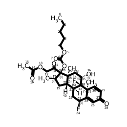 CCCCCOC(=O)O[C@]1(C(=O)COC(C)=O)[C@H](C)C[C@H]2[C@@H]3C[C@H](F)C4=CC(=O)C=C[C@]4(C)[C@@]3(F)[C@@H](O)C[C@@]21C